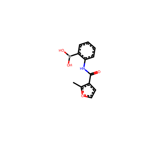 Cc1occc1C(=O)Nc1ccccc1B(O)O